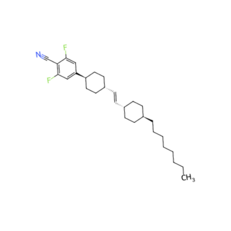 CCCCCCCC[C@H]1CC[C@H](C=C[C@H]2CC[C@H](c3cc(F)c(C#N)c(F)c3)CC2)CC1